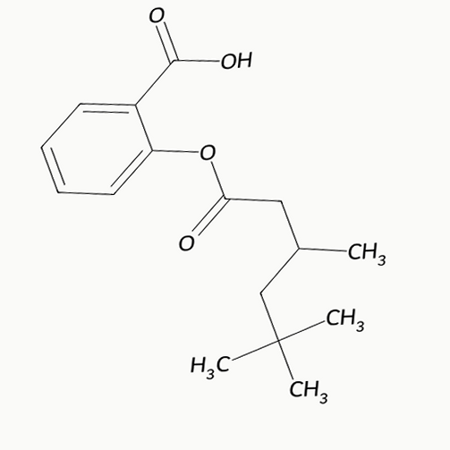 CC(CC(=O)Oc1ccccc1C(=O)O)CC(C)(C)C